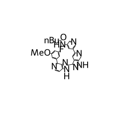 CCCCC(=O)Nc1cncc(-c2cc3c(-c4nc5c(-c6cc(F)cc(OC)c6)nccc5[nH]4)n[nH]c3cn2)c1